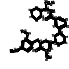 CCOc1cc(OC)ccc1CN(CC(=O)N1CCCC(c2cccc(C(=O)N[C@H](C(=O)O)C3CCCCC3)c2)C1)C(=O)OC(C)(C)C